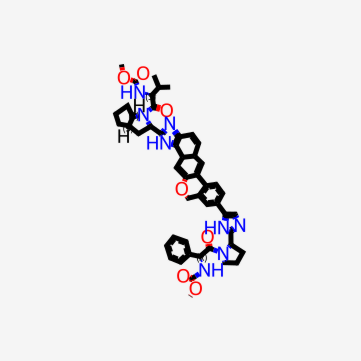 COC(=O)N[C@H](C(=O)N1C(c2nc3c([nH]2)C2C=C4OCc5cc(-c6cnc(C7CCCN7C(=O)[C@H](NC(=O)OC)c7ccccc7)[nH]6)ccc5C4=CC2C=C3)C[C@@H]2CCC[C@@H]21)C(C)C